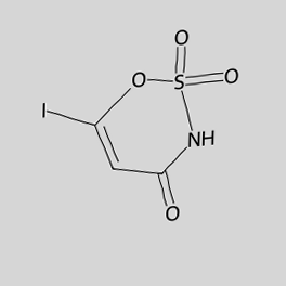 O=C1C=C(I)OS(=O)(=O)N1